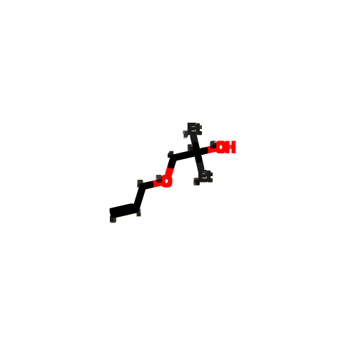 C=CCOCC(O)(CC)CC